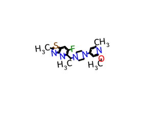 COc1cc(N2CCN([C@H](C)c3nc4nc(C)sc4cc3F)CC2)cc(C)n1